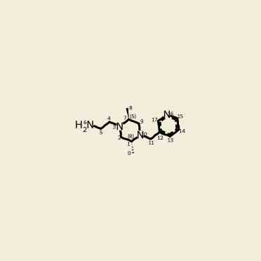 C[C@@H]1CN(CCN)[C@@H](C)CN1Cc1cccnc1